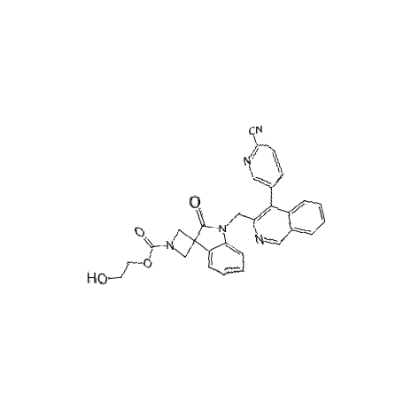 N#Cc1ccc(-c2c(CN3C(=O)C4(CN(C(=O)OCCO)C4)c4ccccc43)ncc3ccccc23)cn1